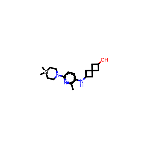 Cc1nc(N2CC[Si](C)(C)CC2)ccc1NC1CC2(CC(O)C2)C1